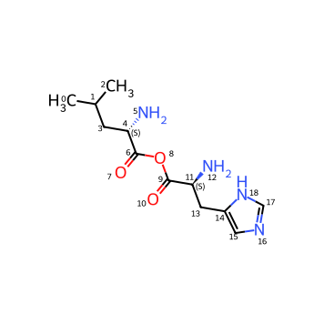 CC(C)C[C@H](N)C(=O)OC(=O)[C@@H](N)Cc1cnc[nH]1